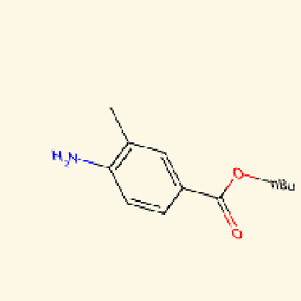 CCCCOC(=O)c1ccc(N)c(C)c1